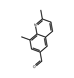 Cc1ccc2cc(C=O)cc(C)c2n1